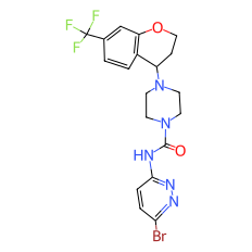 O=C(Nc1ccc(Br)nn1)N1CCN(C2CCOc3cc(C(F)(F)F)ccc32)CC1